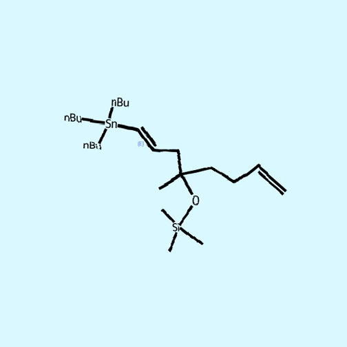 C=CCCC(C)(C/C=[CH]/[Sn]([CH2]CCC)([CH2]CCC)[CH2]CCC)O[Si](C)(C)C